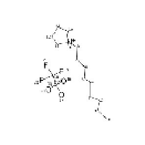 CCCCCCCCC[N+]1=CCCC1.O=S(=O)([O-])C(F)(F)F